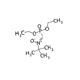 CCOP(=O)(/C=[N+](\[O-])C(C)(C)C)OCC